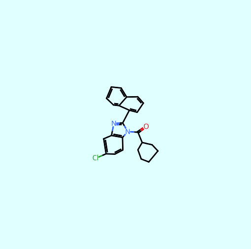 O=C(C1CCCCC1)n1c(-c2cccc3ccccc23)nc2cc(Cl)ccc21